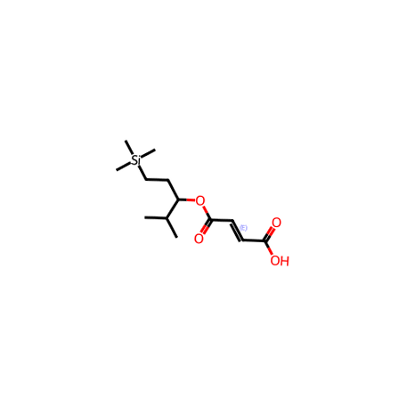 CC(C)C(CC[Si](C)(C)C)OC(=O)/C=C/C(=O)O